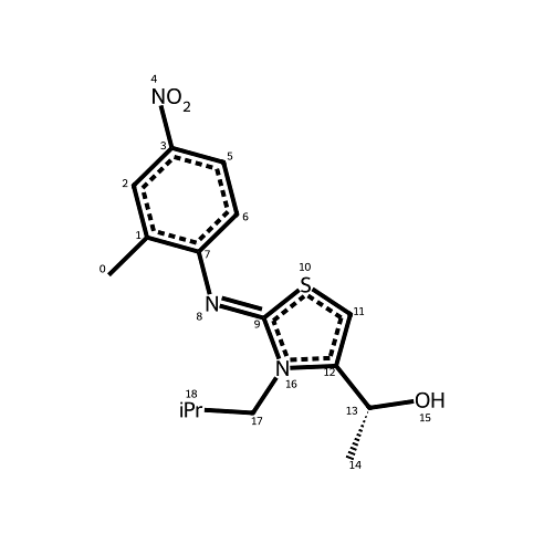 Cc1cc([N+](=O)[O-])ccc1N=c1scc([C@@H](C)O)n1CC(C)C